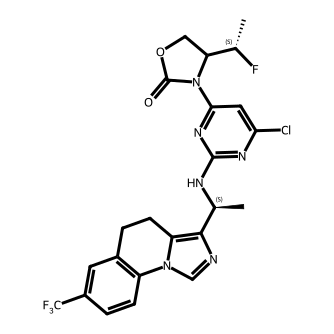 C[C@H](Nc1nc(Cl)cc(N2C(=O)OCC2[C@H](C)F)n1)c1ncn2c1CCc1cc(C(F)(F)F)ccc1-2